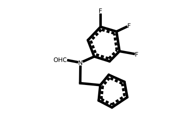 O=CN(Cc1ccccc1)c1cc(F)c(F)c(F)c1